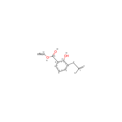 C=C(C)Cc1c[c]cc(C(=O)OCCCCCCCCC)c1O